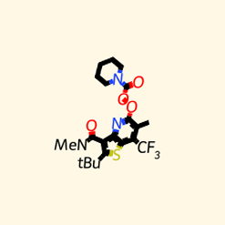 CNC(=O)c1c(C(C)(C)C)sc2c(C(F)(F)F)c(C)c(OOC(=O)N3CCCCC3)nc12